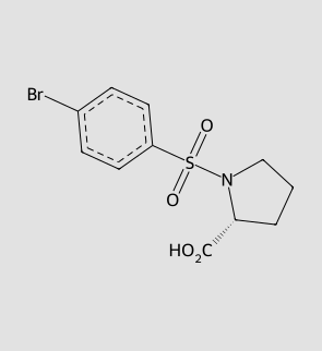 O=C(O)[C@H]1CCCN1S(=O)(=O)c1ccc(Br)cc1